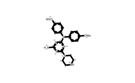 COc1ccc(N(c2ccc(OC)cc2)c2nc(N)nc(N3CCNCC3)n2)cc1